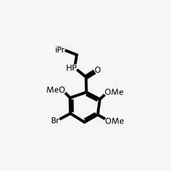 COc1cc(Br)c(OC)c(C(=O)PCC(C)C)c1OC